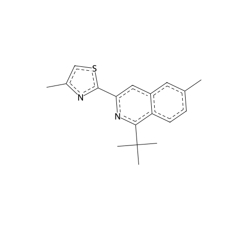 Cc1ccc2c(C(C)(C)C)nc(-c3nc(C)cs3)cc2c1